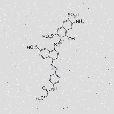 C=CC(=O)Nc1ccc(/N=N/c2ccc(/N=N/c3c(S(=O)(=O)O)cc4cc(S(=O)(=O)O)c(N)cc4c3O)c3cc(S(=O)(=O)O)ccc23)cc1